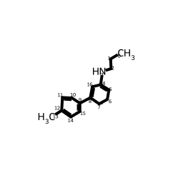 CCCNC1=CC[CH]C(c2ccc(C)cc2)=C1